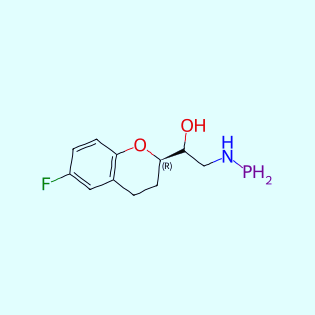 OC(CNP)[C@H]1CCc2cc(F)ccc2O1